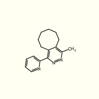 Cc1nnc(-c2ccccn2)c2c1CCCCCC2